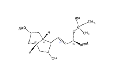 CCCCC[C@@H](/C=C/C1C(O)C[C@@H]2OC(OC)C[C@H]12)O[Si](C)(C)C(C)(C)C